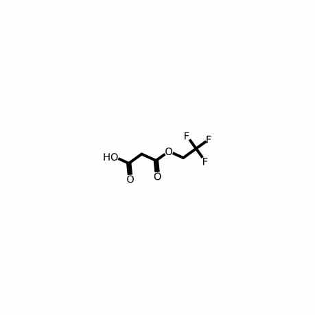 O=C(O)CC(=O)OCC(F)(F)F